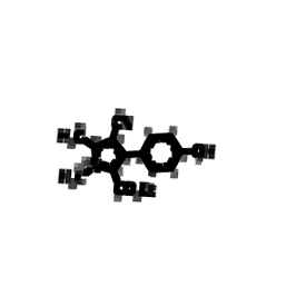 CCOC(=O)c1c(-c2ccc(O)cc2)c(C#N)c(C)n1C